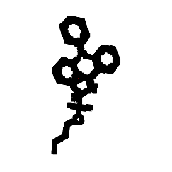 CCCCOC(C)(C)[C@@H]1COC(c2ccccc2P(c2ccccc2)c2ccccc2)=N1